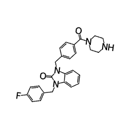 O=C(c1ccc(Cn2c(=O)n(Cc3ccc(F)cc3)c3ccccc32)cc1)N1CCNCC1